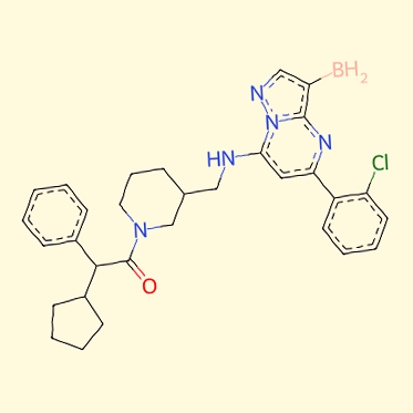 Bc1cnn2c(NCC3CCCN(C(=O)C(c4ccccc4)C4CCCC4)C3)cc(-c3ccccc3Cl)nc12